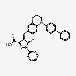 O=C(O)C1=NN(c2ccccc2)C(=O)/C1=C\c1ccc2c(c1)CCCN2c1ccc(-c2ccccc2)cc1